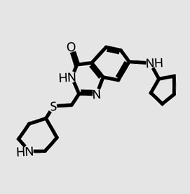 O=c1[nH]c(CSC2CCNCC2)nc2cc(NC3CCCC3)ccc12